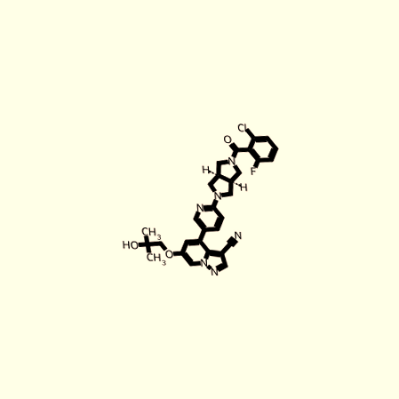 CC(C)(O)COc1cc(-c2ccc(N3C[C@H]4CN(C(=O)c5c(F)cccc5Cl)C[C@H]4C3)nc2)c2c(C#N)cnn2c1